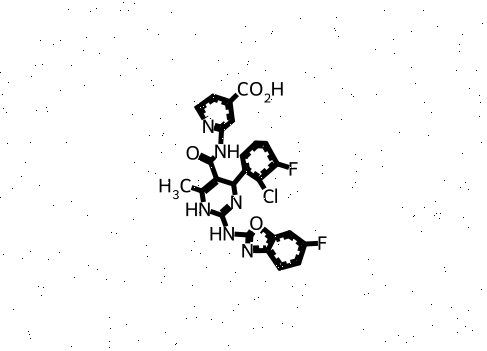 CC1=C(C(=O)Nc2cc(C(=O)O)ccn2)C(c2cccc(F)c2Cl)N=C(Nc2nc3ccc(F)cc3o2)N1